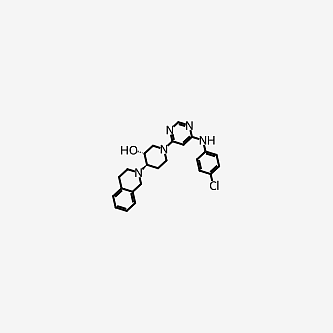 O[C@@H]1CN(c2cc(Nc3ccc(Cl)cc3)ncn2)CC[C@H]1N1CCc2ccccc2C1